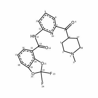 CN1CCC(C(=O)c2cccc(NC(=O)c3cccc4c3OC(F)(F)O4)n2)CC1